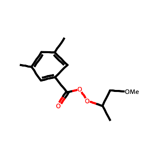 COC[C](C)OOC(=O)c1cc(C)cc(C)c1